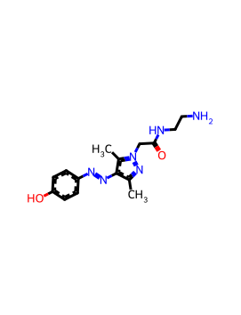 Cc1nn(CC(=O)NCCN)c(C)c1N=Nc1ccc(O)cc1